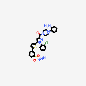 [N-]=[N+]=NS(=O)(=O)c1cccc(-c2ccc(-c3cc(C(=O)N4CCN(c5ccccc5N)CC4)nn3-c3ccccc3Cl)s2)c1